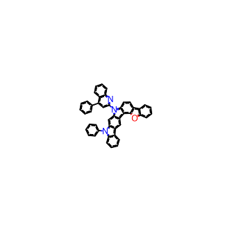 c1ccc(-c2cc(-n3c4cc5c(cc4c4c6oc7ccccc7c6ccc43)c3ccccc3n5-c3ccccc3)nc3ccccc23)cc1